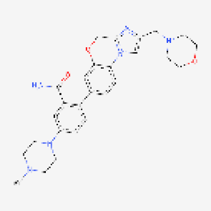 CC(C)N1CCN(c2ccc(-c3ccc4c(c3)OCc3nc(CN5CCOCC5)cn3-4)c(C(N)=O)c2)CC1